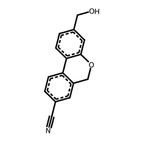 N#Cc1ccc2c(c1)COc1cc(CO)ccc1-2